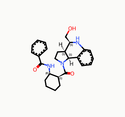 O=C(N[C@@H]1CCCC[C@@H]1C(=O)N1CC[C@@H]2[C@H]1c1ccccc1N[C@@H]2CO)c1ccccc1